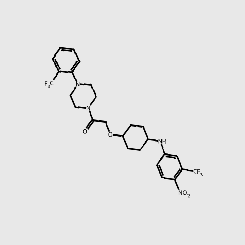 O=C(COC1CCC(Nc2ccc([N+](=O)[O-])c(C(F)(F)F)c2)CC1)N1CCN(c2ccccc2C(F)(F)F)CC1